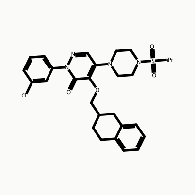 CC(C)S(=O)(=O)N1CCN(c2cnn(-c3cccc(Cl)c3)c(=O)c2OCC2CCc3ccccc3C2)CC1